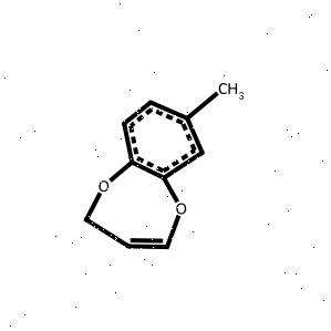 Cc1ccc2c(c1)OC=CCO2